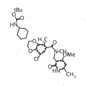 COc1cc(C)[nH]c(=O)c1CN(C)C(=O)c1cc(Cl)c2c(c1C)O[C@@H](C1CCC(NC(=O)OC(C)(C)C)CC1)CO2